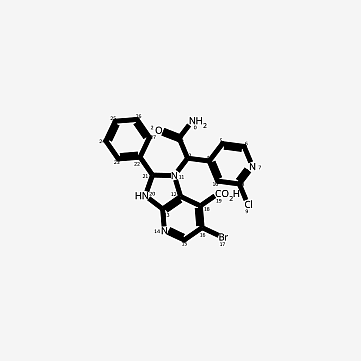 NC(=O)C(c1ccnc(Cl)c1)N1c2c(ncc(Br)c2C(=O)O)NC1c1ccccc1